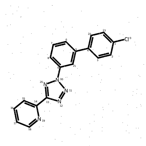 Clc1ccc(-c2cccc(-n3nnc(-c4ccccn4)n3)c2)cc1